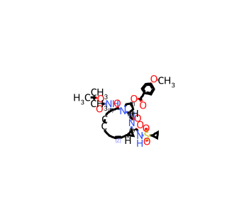 COc1ccc(C(=O)O[C@@H]2C[C@H]3C(=O)N[C@]4(C(=O)NS(=O)(=O)C5CC5)C[C@H]4/C=C\CCCCC[C@H](NC(=O)OC(C)(C)C)C(=O)N3C2)cc1